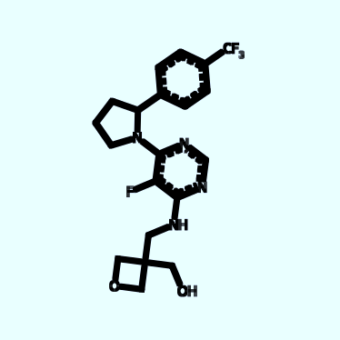 OCC1(CNc2ncnc(N3CCCC3c3ccc(C(F)(F)F)cc3)c2F)COC1